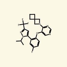 CC(C)n1nc(C(F)(F)F)cc1-c1cc(F)ccc1Oc1cncnc1N1CC2(CCC2)C1